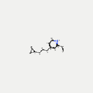 CCc1cc(CCCC2CC2)ccn1